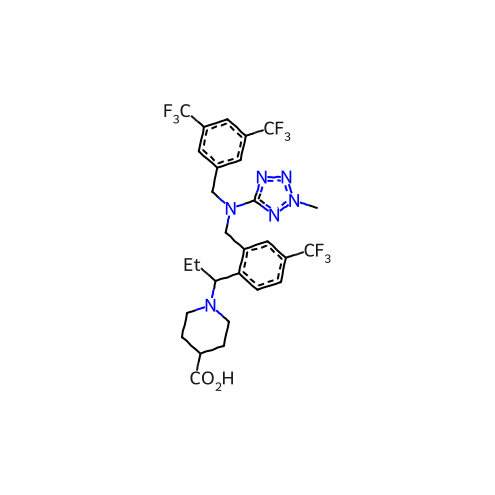 CCC(c1ccc(C(F)(F)F)cc1CN(Cc1cc(C(F)(F)F)cc(C(F)(F)F)c1)c1nnn(C)n1)N1CCC(C(=O)O)CC1